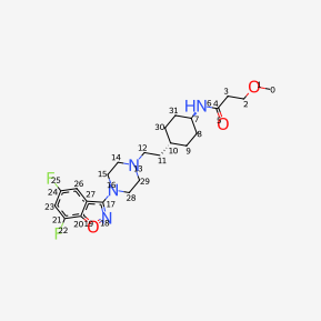 COCCC(=O)N[C@H]1CC[C@H](CCN2CCN(c3noc4c(F)cc(F)cc34)CC2)CC1